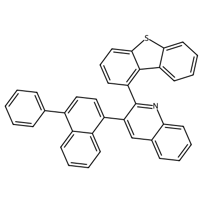 c1ccc(-c2ccc(-c3cc4ccccc4nc3-c3cccc4sc5ccccc5c34)c3ccccc23)cc1